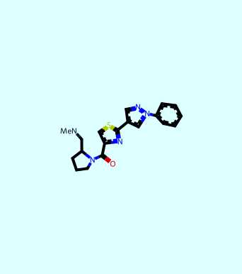 CNCC1CCCN1C(=O)c1csc(-c2cnn(-c3ccccc3)c2)n1